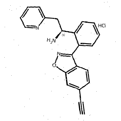 C#Cc1ccc2c(-c3ccccc3[C@@H](N)Cc3ccccn3)noc2c1.Cl